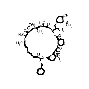 CO[C@@H]1C[C@H](C[C@@H](C)[C@@H]2CC(=O)[C@H](C)/C=C(\C)[C@@H](O)[C@@H](OC)C(=O)[C@H](C)C[C@H](C)/C=C/C=C/C=C(\C)C(OCc3ccccc3)C[C@@H]3CC[C@@H](C)[C@@](O)(O3)C(=O)C(=O)N3CCCC[C@H]3C(=O)O2)CC[C@H]1O